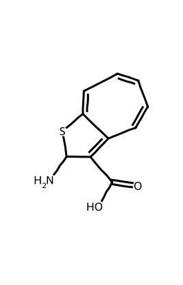 NC1SC2=CC=CC=CC2=C1C(=O)O